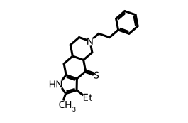 CCc1c(C)[nH]c2c1C(=S)C1CN(CCc3ccccc3)CCC1C2